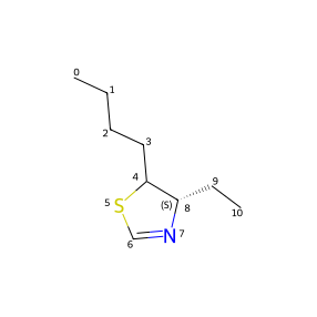 CCCCC1SC=N[C@H]1CC